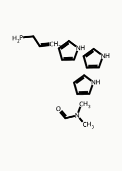 C=CCP.CN(C)C=O.c1cc[nH]c1.c1cc[nH]c1.c1cc[nH]c1